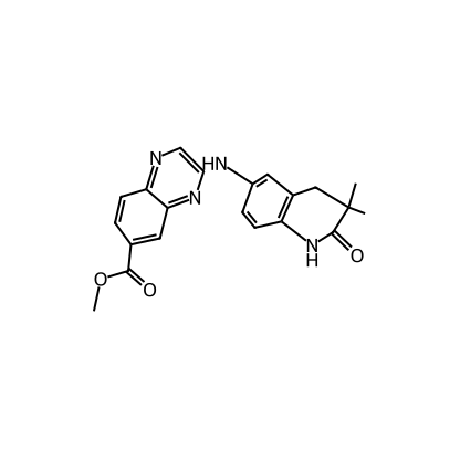 COC(=O)c1ccc2ncc(Nc3ccc4c(c3)CC(C)(C)C(=O)N4)nc2c1